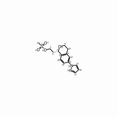 CS(=O)(=O)OCC[C@@H]1OCCc2cc(-n3cccn3)ccc21